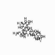 CC(OC(CN)[C@@H](O)C(O)CO)OC1C(N)CC(NC(=O)C(O)CN)C(O[C@H]2OC(CO)[C@@H](O)C(N)C2O)[C@H]1O